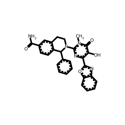 Cn1c(N2CCc3cc(C(N)=O)ccc3C2c2ccccc2)nc(-c2nc3ccccc3o2)c(O)c1=O